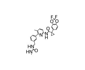 CNC(=O)NCc1cccc(-c2nc(NC(=O)C3(c4ccc5c(c4)OC(F)(F)O5)CC3)ccc2C)c1